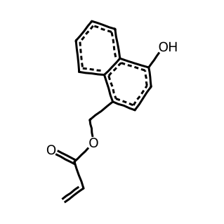 C=CC(=O)OCc1ccc(O)c2ccccc12